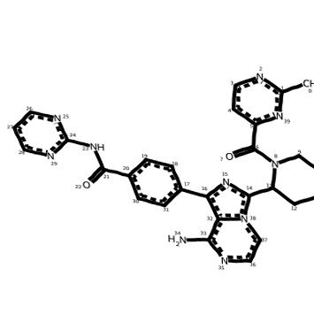 Cc1nccc(C(=O)N2CCCCC2c2nc(-c3ccc(C(=O)Nc4ncccn4)cc3)c3c(N)nccn23)n1